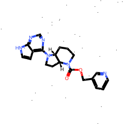 O=C(OCc1cccnc1)N1CCC[C@@H]2[C@H]1CCN2c1ncnc2[nH]ccc12